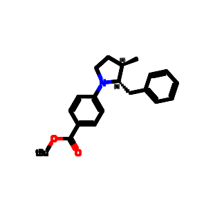 C[C@@H]1CCN(c2ccc(C(=O)OC(C)(C)C)cc2)[C@H]1Cc1ccccc1